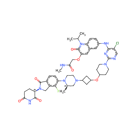 CNC(=O)COc1cc2cc(Nc3nc(N4CCC(OC5CC(N6CCN(c7ccc8c(c7F)CN([C@@H]7CCC(=O)NC7=O)C8=O)[C@H](C)C6)C5)CC4)ncc3Cl)ccc2n(C(C)C)c1=O